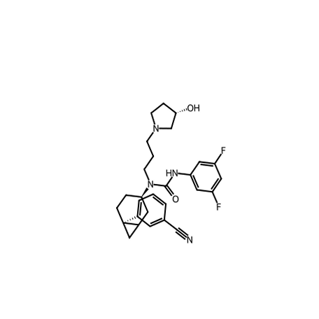 N#Cc1cccc([C@]23CC[C@@H](N(CCCN4CC[C@H](O)C4)C(=O)Nc4cc(F)cc(F)c4)CC2C3)c1